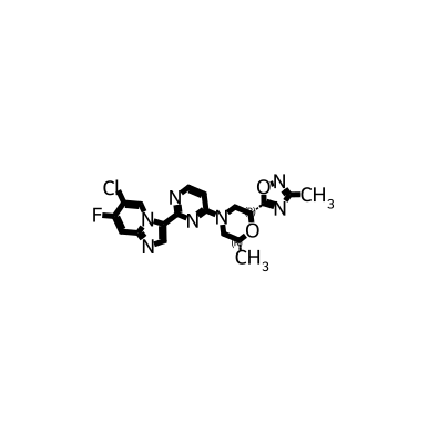 Cc1noc([C@H]2CN(c3ccnc(-c4cnc5cc(F)c(Cl)cn45)n3)C[C@@H](C)O2)n1